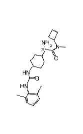 Cc1cccc(C)c1NC(=O)NC1CCC([C@H](N)C(=O)N(C)C2CCC2)CC1